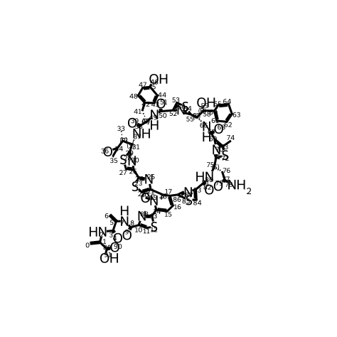 C=C(NC(=O)C(=C)NC(=O)c1csc(-c2ccc3c([n+]2[O-])-c2csc(n2)-c2csc(n2)[C@H]([C@@H](C)C2CO2)NC(=O)[C@H](Cc2ccc(O)cc2)NC(=O)c2csc(n2)[C@H]([C@H](O)c2ccccc2)NC(=O)c2nc(sc2C)[C@H](CC(N)=O)NC(=O)c2csc-3n2)n1)C(=O)O